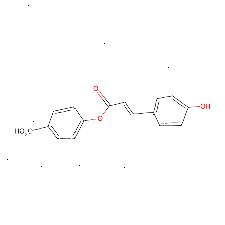 O=C(C=Cc1ccc(O)cc1)Oc1ccc(C(=O)O)cc1